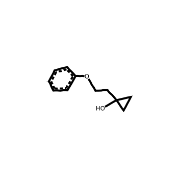 OC1(CCOc2cc[c]cc2)CC1